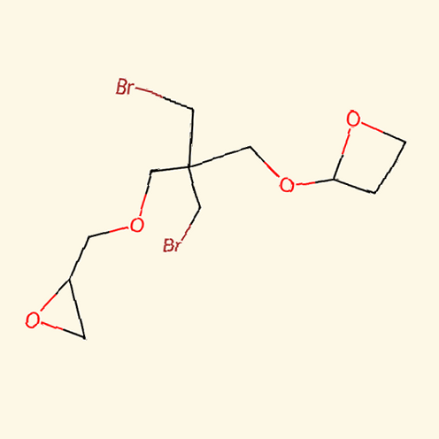 BrCC(CBr)(COCC1CO1)COC1CCO1